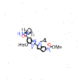 COC(=O)N(C)c1ccc2cc(-c3nc4cc(C(=O)N5[C@H]6CC[C@@H]5[C@H](N)C6)cc(OC)c4n3C)n(CC3CC3)c2c1